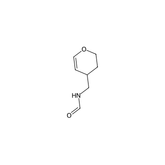 O=CNCC1C=COCC1